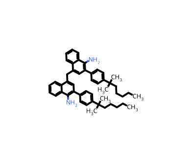 CCCCCC(C)(C)c1ccc(-c2cc(Cc3cc(-c4ccc(C(C)(C)CCCCC)cc4)c(N)c4ccccc34)c3ccccc3c2N)cc1